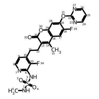 CNS(=O)(=O)Nc1nccc(CCc2c(C)c3cc(F)c(Oc4ncccn4)cc3oc2=O)c1F